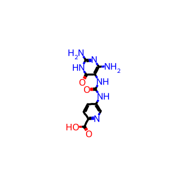 Nc1nc(N)c(NC(=O)Nc2ccc(C(=O)O)nc2)c(=O)[nH]1